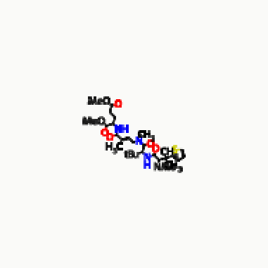 CNC(C(=O)NC(C(=O)N(C)C/C=C(\C)C(=O)NC(CCC(=O)OC)C(=O)OC)C(C)(C)C)C(C)(C)c1cccs1